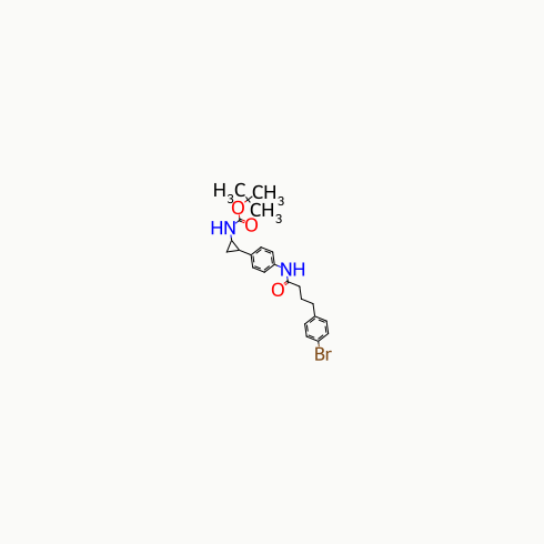 CC(C)(C)OC(=O)NC1CC1c1ccc(NC(=O)CCCc2ccc(Br)cc2)cc1